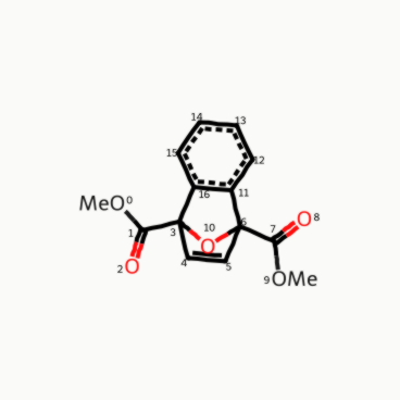 COC(=O)C12C=CC(C(=O)OC)(O1)c1ccccc12